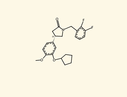 COc1ccc([C@@H]2CC(=O)N(Cc3cccc(F)c3F)C2)cc1OC1CCCC1